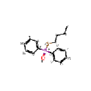 CCCCSP(=O)(c1ccccc1)c1ccccc1